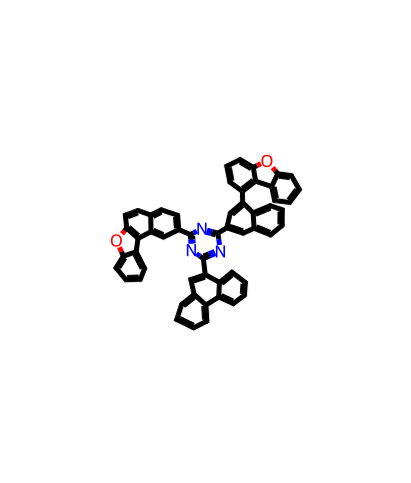 c1ccc2c(-c3cccc4oc5ccccc5c34)cc(-c3nc(-c4ccc5ccc6oc7ccccc7c6c5c4)nc(-c4cc5ccccc5c5ccccc45)n3)cc2c1